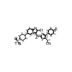 CCc1nc2ccc(C3CCN(S(C)(=O)=O)CC3)cn2c1N(C)c1nc(-c2ccc(F)cc2)c(CC#N)s1